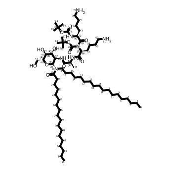 CCCCCCCCCCCCCCCCCCN(C(=O)CCCCCCCCCCCCCCCCC)[C@@H]1O[C@H](CO)[C@@H](O)[C@H](O)[C@H]1NC(=O)[C@H](C)NC(=O)[C@H](CCCCN)N(C(=O)OC(C)(C)C)C(=O)[C@H](CCCCN)NC(=O)OC(C)(C)C